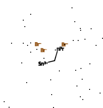 CCC[CH2][Sn+3].[Br-].[Br-].[Br-]